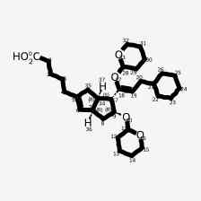 O=C(O)CCCCC1=C[C@@H]2C[C@@H](OC3CCCCO3)[C@@H](C(=CCC3CCCCC3)OC3CCCCO3)[C@@H]2C1